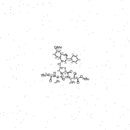 CCCC(NC(=O)[C@@H]1C[C@@H](Oc2cc(-c3ccccc3)nc3cc(OC)ccc23)CN1C(=O)[C@@H](NC(=O)OC(C)(C)C)C(C)C)C(=O)C(=O)OC(C)(C)C